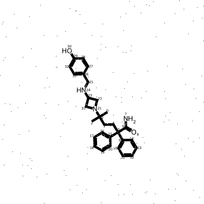 CC(C)(CCC(C(N)=O)(c1ccccc1)c1ccccc1)N1CC(NCc2ccc(O)cc2)C1